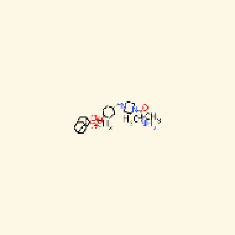 COC1(OO[C@H]2CC[C@@H](CN3CCN(C(=O)C(C)(C)N)CC3)CC2)C2CC3CC(C2)CC1C3